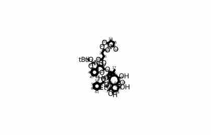 CCO[C@@]12CO[C@@H]1C[C@H](O)[C@@]1(C)C(=O)[C@H](O)C3=C(C)[C@@H](OC(=O)[C@H](OC(=O)CCC(=O)ON4C(=O)CCC4=O)[C@@H](NC(=O)OC(C)(C)C)c4ccccc4)C[C@@](O)([C@@H](OC(=O)c4ccccc4)C12)C3(C)C